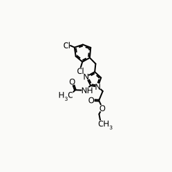 CCOC(=O)Cn1cc(Cc2ccc(Cl)cc2Cl)nc1NC(C)=O